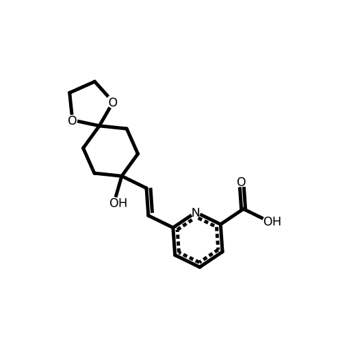 O=C(O)c1cccc(/C=C/C2(O)CCC3(CC2)OCCO3)n1